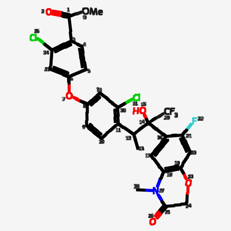 COC(=O)c1ccc(Oc2ccc(C(C)C(O)(c3cc4c(cc3F)OCC(=O)N4C)C(F)(F)F)c(Cl)c2)cc1Cl